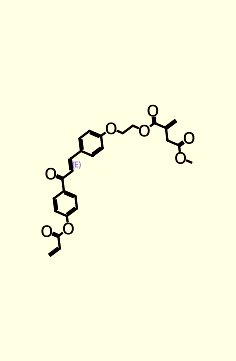 C=CC(=O)Oc1ccc(C(=O)/C=C/c2ccc(OCCOC(=O)C(=C)CC(=O)OC)cc2)cc1